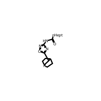 CCCCCCCC(=O)Nc1noc(C2CN3CCC2CC3)n1